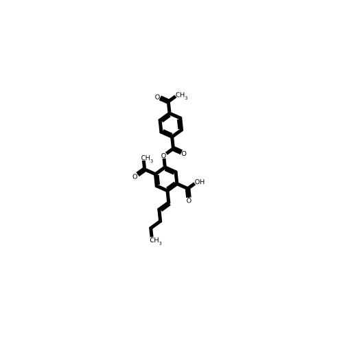 CCC/C=C/c1cc(C(C)=O)c(OC(=O)c2ccc(C(C)=O)cc2)cc1C(=O)O